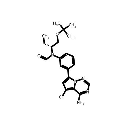 CC[C@H](COC(C)(C)C)N(C=O)c1cccc(-c2cc(Cl)c3c(N)ncnn23)c1